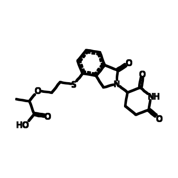 CC(OCCSc1cccc2c1CN(C1CCC(=O)NC1=O)C2=O)C(=O)O